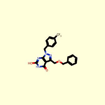 O=c1[nH]c(O)nc2c1c(COCc1ccccc1)nn2Cc1ccc(C(F)(F)F)cc1